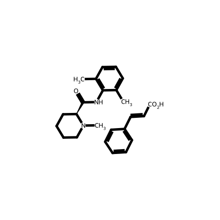 Cc1cccc(C)c1NC(=O)[C@@H]1CCCCN1C.O=C(O)C=Cc1ccccc1